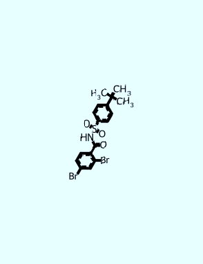 CC(C)(C)c1ccc(S(=O)(=O)NC(=O)c2ccc(Br)cc2Br)cc1